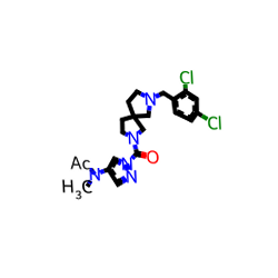 CC(=O)N(C)c1cnn(C(=O)N2CCC3(CCN(Cc4ccc(Cl)cc4Cl)C3)C2)c1